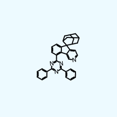 c1ccc(-c2nc(-c3ccccc3)nc(-c3cccc4c3-c3cnccc3C43C4CC5CC(C4)CC3C5)n2)cc1